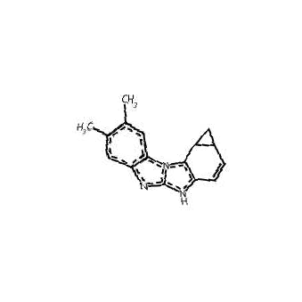 Cc1cc2nc3[nH]c4c(n3c2cc1C)C1CC1C=C4